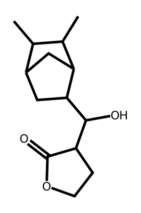 CC1C2CC(C1C)C(C(O)C1CCOC1=O)C2